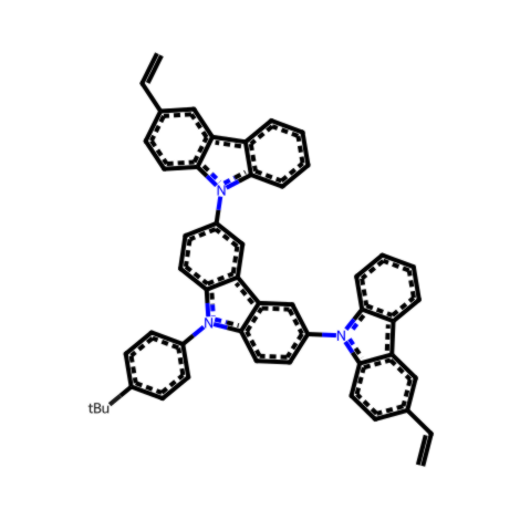 C=Cc1ccc2c(c1)c1ccccc1n2-c1ccc2c(c1)c1cc(-n3c4ccccc4c4cc(C=C)ccc43)ccc1n2-c1ccc(C(C)(C)C)cc1